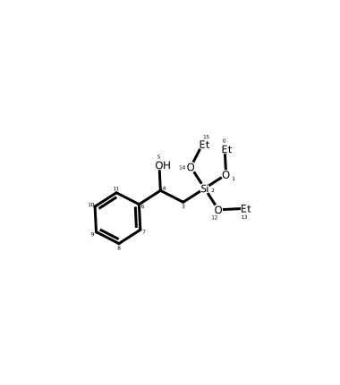 CCO[Si](CC(O)c1ccccc1)(OCC)OCC